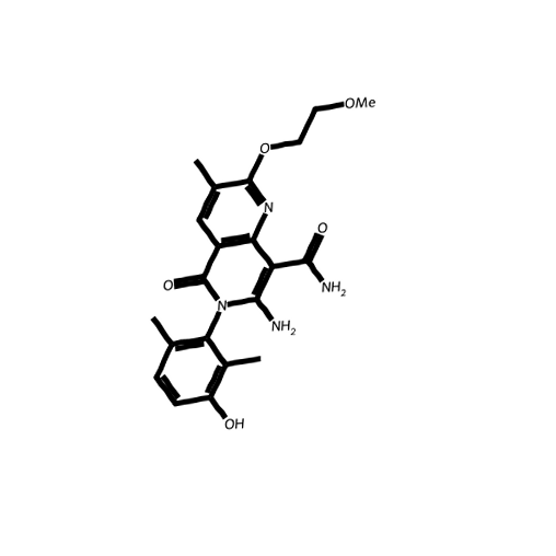 COCCOc1nc2c(C(N)=O)c(N)n(-c3c(C)ccc(O)c3C)c(=O)c2cc1C